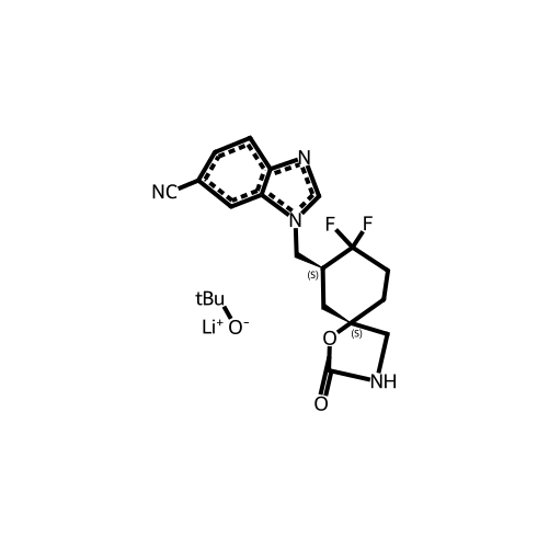 CC(C)(C)[O-].N#Cc1ccc2ncn(C[C@@H]3C[C@@]4(CCC3(F)F)CNC(=O)O4)c2c1.[Li+]